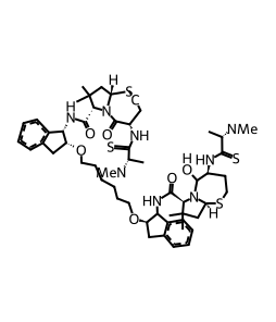 CN[C@@H](C)C(=S)N[C@H]1CCS[C@H]2CC(C)(C)[C@@H](C(=O)N[C@H]3c4ccccc4C[C@H]3OCCCCCCO[C@@H]3Cc4ccccc4C3NC(=O)[C@H]3N4C(O)[C@@H](NC(=S)[C@H](C)NC)CCS[C@H]4CC3(C)C)N2C1=O